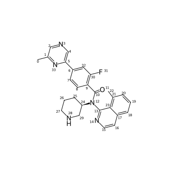 Cc1cncc(-c2ccc(C(=O)N(c3nccc4cccc(C)c34)[C@@H]3CCCNC3)c(F)c2)n1